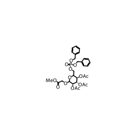 COC(=O)COC1OC(COP(=O)(OCc2ccccc2)OCc2ccccc2)[C@@H](OC(C)=O)[C@H](OC(C)=O)[C@H]1OC(C)=O